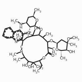 CCC1OC(=O)C(C)C(O[C@H]2C[C@@](C)(OC)[C@@H](O)[C@H](C)O2)C(C)C(O[C@@H]2O[C@H](C)C[C@H](NC)[C@H]2Oc2cnc3ccccc3c2)C(C)(O)CC(C)CN(C)C(C)C(O)C1(C)O